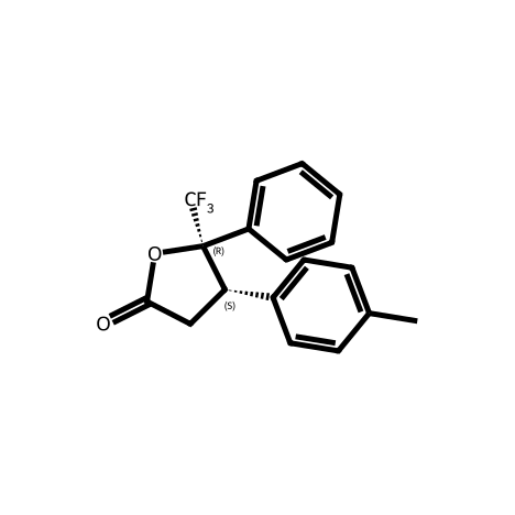 Cc1ccc([C@@H]2CC(=O)O[C@]2(c2ccccc2)C(F)(F)F)cc1